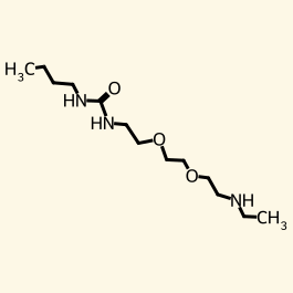 CCCCNC(=O)NCCOCCOCCNCC